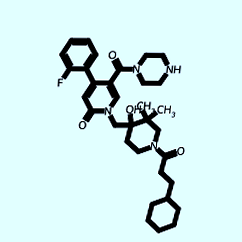 CC1(C)CN(C(=O)CCC2CCCCC2)CCC1(O)Cn1cc(C(=O)N2CCNCC2)c(-c2ccccc2F)cc1=O